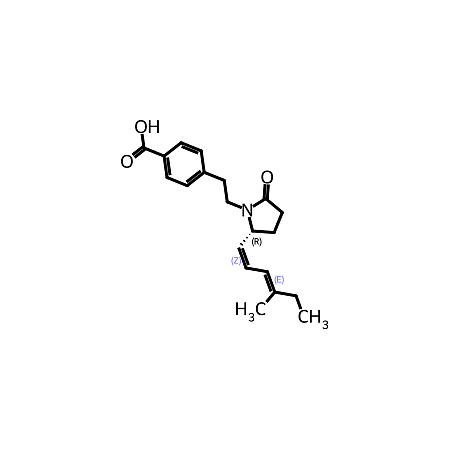 CC/C(C)=C/C=C\[C@H]1CCC(=O)N1CCc1ccc(C(=O)O)cc1